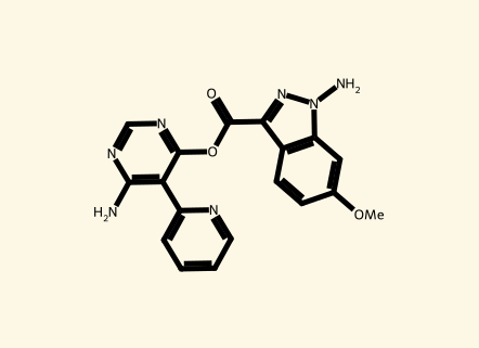 COc1ccc2c(C(=O)Oc3ncnc(N)c3-c3ccccn3)nn(N)c2c1